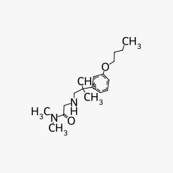 CCCCOc1cccc(C(C)(C)CNCC(=O)N(C)C)c1